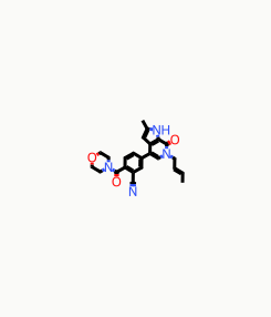 C/C=C/Cn1cc(-c2ccc(C(=O)N3CCOCC3)c(C#N)c2)c2cc(C)[nH]c2c1=O